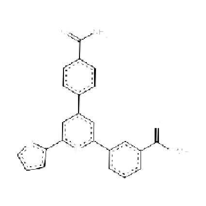 COC(=O)c1cccc(-c2cc(-c3ccc(C(N)=O)cc3)cc(-c3ccco3)n2)c1